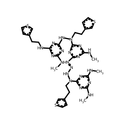 CNc1nc(NCCc2ccsc2)nc(NN(CCc2ccsc2)c2nc(N=NNN(CCc3ccsc3)c3nc(NC)nc(NC)n3)nc(NC)n2)n1